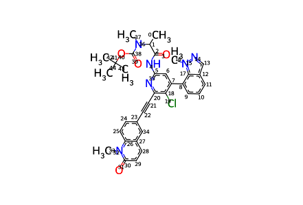 CC(C(=O)Nc1cc(-c2cccc3cnn(C)c23)c(Cl)c(C#Cc2ccc3c(ccc(=O)n3C)c2)n1)N(C)C(=O)OC(C)(C)C